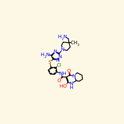 CC1(CN)CCN(c2nnc(Sc3cccc(NC(=O)C4=C(O)NC5CCCCN5C4=O)c3Cl)c(N)n2)CC1